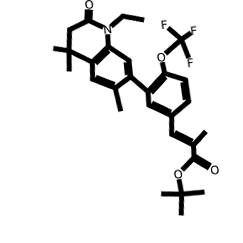 CCN1C(=O)CC(C)(C)c2cc(C)c(-c3cc(/C=C(\C)C(=O)OC(C)(C)C)ccc3OC(F)(F)F)cc21